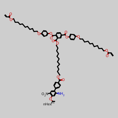 C=CC(=O)OCCCCCCCCCCCOc1ccc(OC(=O)c2ccc(C(=O)Oc3ccc(OCCCCCCCCCCCOC(=O)C=C)cc3)c(C(=O)OCCCCCCCCCCCCOC(=O)c3ccc(-c4cc([N+](=O)[O-])c(O[C@@H](C)CCCCCC)cc4N)cc3)c2)cc1